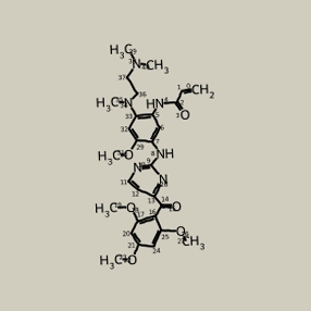 C=CC(=O)Nc1cc(Nc2nccc(C(=O)c3c(OC)cc(OC)cc3OC)n2)c(OC)cc1N(C)CCN(C)C